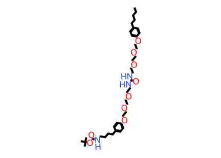 CCCCCc1ccc(OCCOCCOCCNC(=O)NCCOCCOCCOc2ccc(CCCCNC(=O)OC(C)(C)C)cc2)cc1